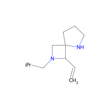 C=CC1N(CC(C)C)CC12CCCN2